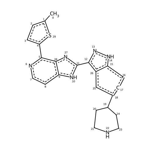 Cc1ccc(-c2nccc3[nH]c(-c4n[nH]c5ccc(C6CCNCC6)cc45)nc23)s1